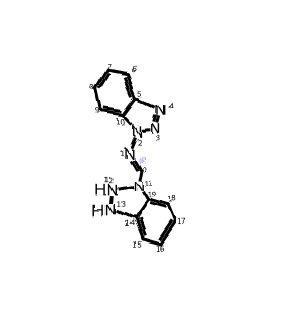 C(=N\n1nnc2ccccc21)/N1NNc2ccccc21